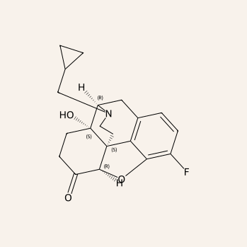 O=C1CC[C@@]2(O)[C@H]3Cc4ccc(F)c5c4[C@@]2(CCN3CC2CC2)[C@H]1O5